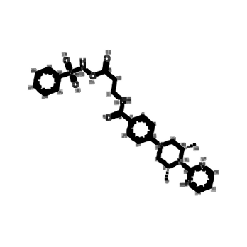 C[C@@H]1CN(c2ccc(C(=O)NCCC(=O)ONS(=O)(=O)c3ccccc3)cc2)C[C@H](C)N1c1ncccn1